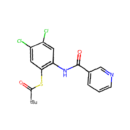 CC(C)(C)C(=O)Sc1cc(Cl)c(Cl)cc1NC(=O)c1cccnc1